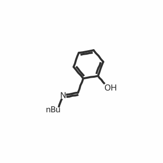 CCCCN=Cc1ccccc1O